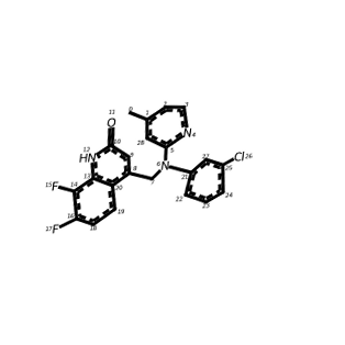 Cc1ccnc(N(Cc2cc(=O)[nH]c3c(F)c(F)ccc23)c2cccc(Cl)c2)c1